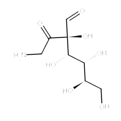 NCC(=O)[C@](O)(C=O)[C@@H](O)[C@H](O)[C@H](O)CO